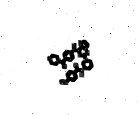 CC(C)(C)c1ccc(C(=O)N[C@H]2CCCN(c3nc(Nc4ccc(C(=O)N5CCOCC5)cc4)c4nccn4n3)C2)cc1